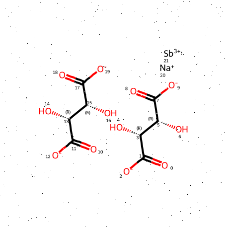 O=C([O-])[C@H](O)[C@@H](O)C(=O)[O-].O=C([O-])[C@H](O)[C@@H](O)C(=O)[O-].[Na+].[Sb+3]